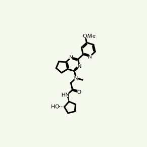 COc1ccnc(-c2nc3c(c(N(C)CC(=O)N[C@H]4CCC[C@@H]4O)n2)CCC3)c1